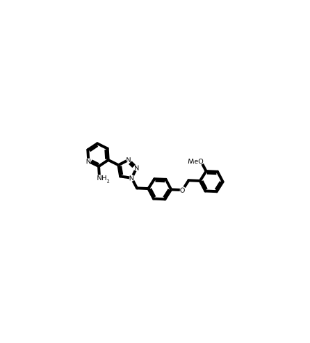 COc1ccccc1COc1ccc(Cn2cc(-c3cccnc3N)nn2)cc1